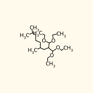 CCOC(OCC)C(CC(C)CCCC(C)C)C(OCC)OCC